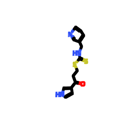 O=C(CCSC(=S)NCc1cccnc1)c1cc[nH]c1